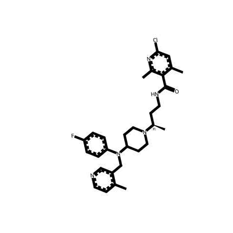 Cc1ccncc1CN(c1ccc(F)cc1)C1CCN([C@H](C)CCNC(=O)c2c(C)cc(Cl)nc2C)CC1